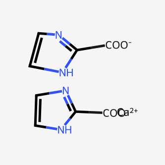 O=C([O-])c1ncc[nH]1.O=C([O-])c1ncc[nH]1.[Ca+2]